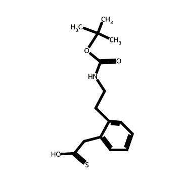 CC(C)(C)OC(=O)NCCc1ccccc1CC(O)=S